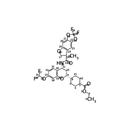 CCOC(=O)C1CCC([C@H]2C[C@@H](NC(=O)[C@@]3(C)COc4cc5c(cc43)OC(F)(F)O5)c3ccc(OC(F)F)cc3O2)CC1